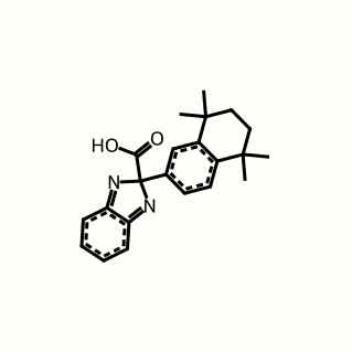 CC1(C)CCC(C)(C)c2cc(C3(C(=O)O)N=c4ccccc4=N3)ccc21